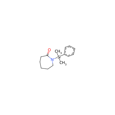 C[Si](C)(c1ccccc1)N1CCCCCC1=O